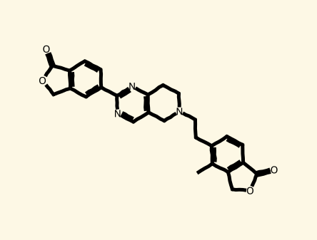 Cc1c(CCN2CCc3nc(-c4ccc5c(c4)COC5=O)ncc3C2)ccc2c1COC2=O